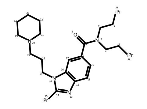 CC(C)CCN(CCC(C)C)C(=O)c1ccc2nc(C(C)C)n(CCCN3CCCCC3)c2c1